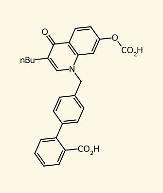 CCCCc1cn(Cc2ccc(-c3ccccc3C(=O)O)cc2)c2cc(OC(=O)O)ccc2c1=O